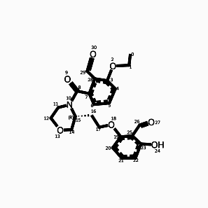 CCOc1cccc(C(=O)N2CCOC[C@H]2CCOc2cccc(O)c2C=O)c1C=O